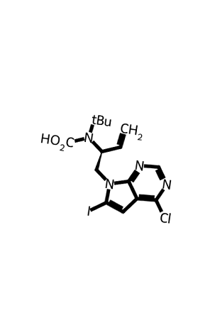 C=C[C@@H](Cn1c(I)cc2c(Cl)ncnc21)N(C(=O)O)C(C)(C)C